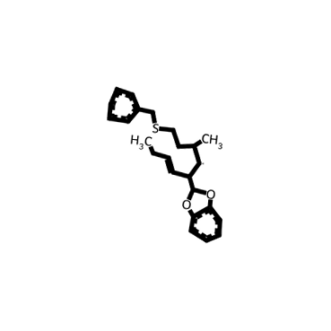 CCC=CC([CH]C(C)CCSCc1ccccc1)C1Oc2ccccc2O1